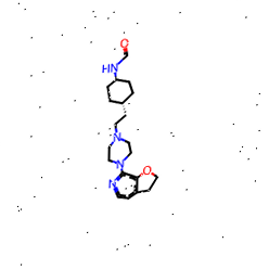 O=CN[C@H]1CC[C@H](CCN2CCN(c3nccc4c3OCC4)CC2)CC1